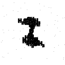 CC(C)CC(O)(CF)CNC(c1nc2cc(-c3ccc(-c4ccc5[nH]c(C(NC(=O)C(O)(CF)CC(C)C)C(C)(C)C)nc5c4)cc3)ccc2[nH]1)C(C)(C)C